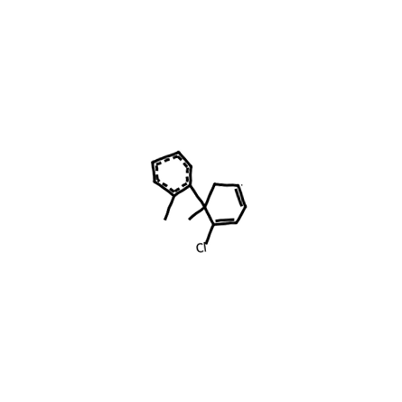 Cc1ccccc1C1(C)C[C]=CC=C1Cl